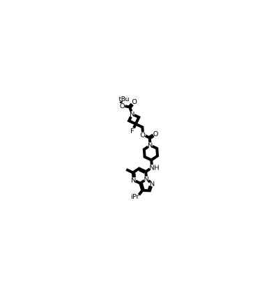 Cc1cc(NC2CCN(C(=O)OCC3(F)CN(C(=O)OC(C)(C)C)C3)CC2)n2ncc(C(C)C)c2n1